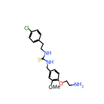 COc1cc(CNC(=S)NCCc2ccc(Cl)cc2)ccc1OCCN